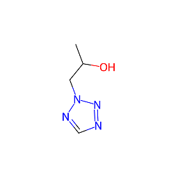 CC(O)Cn1ncnn1